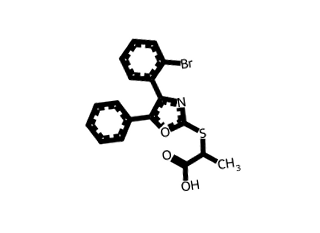 CC(Sc1nc(-c2ccccc2Br)c(-c2ccccc2)o1)C(=O)O